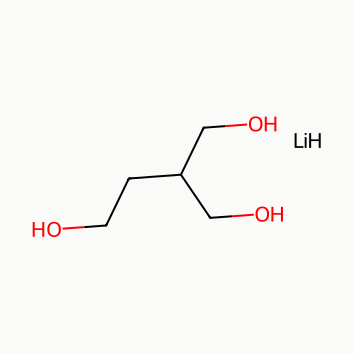 OCCC(CO)CO.[LiH]